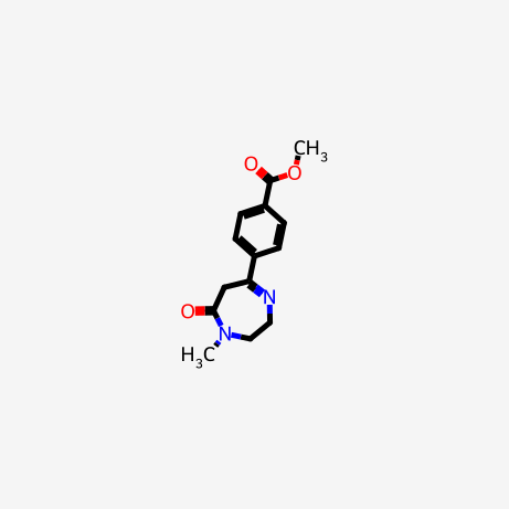 COC(=O)c1ccc(C2=NCCN(C)C(=O)C2)cc1